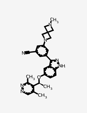 Cc1cnnc(C)c1[C@H](C)Oc1ccc2[nH]nc(-c3cc(C#N)cc(N4CC5(CN(C)C5)C4)c3)c2c1